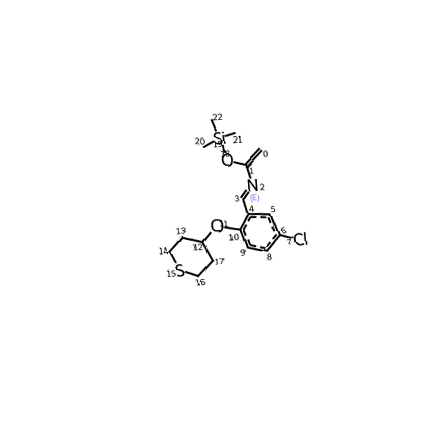 C=C(/N=C/c1cc(Cl)ccc1OC1CCSCC1)O[Si](C)(C)C